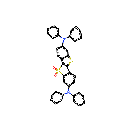 O=S1(=O)c2cc(N(c3ccccc3)c3ccccc3)ccc2-c2sc3cc(N(c4ccccc4)c4ccccc4)ccc3c21